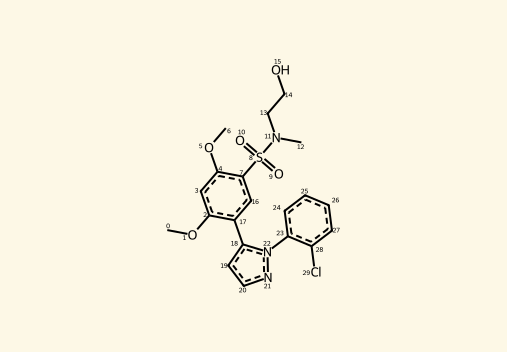 COc1cc(OC)c(S(=O)(=O)N(C)CCO)cc1-c1ccnn1-c1ccccc1Cl